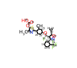 Cc1cc(OCc2c(-c3c(F)cccc3C(F)(F)F)noc2C2CC2)ccc1-c1nc(C)c(OC(=O)O)s1